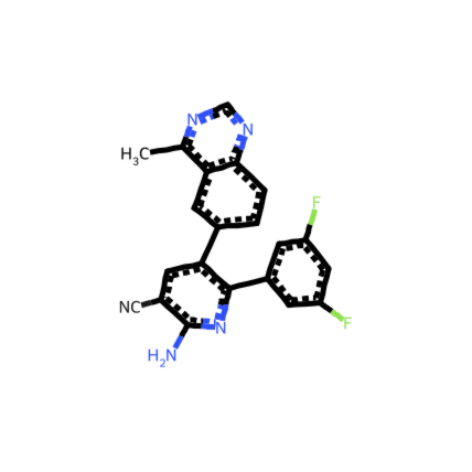 Cc1ncnc2ccc(-c3cc(C#N)c(N)nc3-c3cc(F)cc(F)c3)cc12